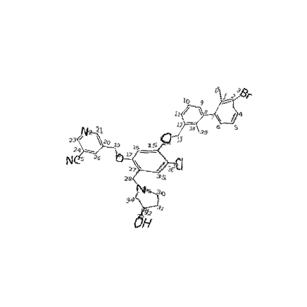 Cc1c(Br)cccc1-c1cccc(COc2cc(OCc3cncc(C#N)c3)c(CN3CC[C@@H](O)C3)cc2Cl)c1C